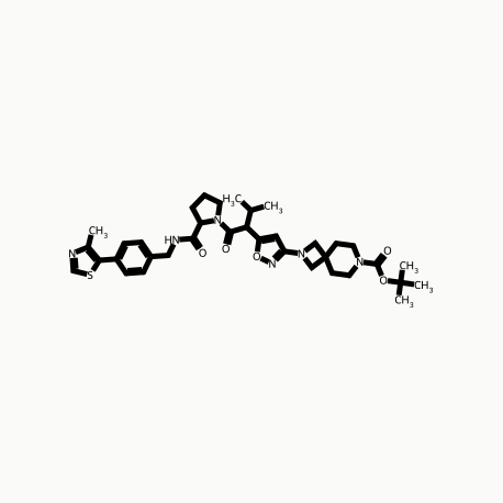 Cc1ncsc1-c1ccc(CNC(=O)C2CCCN2C(=O)C(c2cc(N3CC4(CCN(C(=O)OC(C)(C)C)CC4)C3)no2)C(C)C)cc1